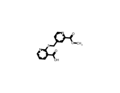 COC(=O)c1cc(CSc2ncccc2C(=O)O)ccn1